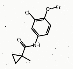 CCOc1ccc(NC(=O)C2(C)CC2)cc1Cl